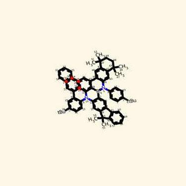 CC(C)(C)c1ccc(N2B3c4cc5c(cc4N(c4ccc(C(C)(C)C)cc4-c4ccccc4)c4cc(-c6ccccc6)cc(c43)-c3cc4c(cc32)C(C)(C)CCC4(C)C)C(C)(C)c2ccccc2-5)cc1